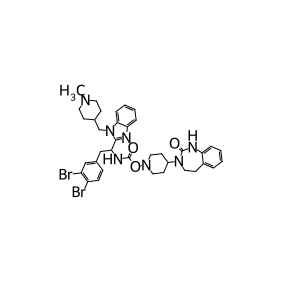 CN1CCC(Cn2c(C(Cc3ccc(Br)c(Br)c3)NC(=O)ON3CCC(N4CCc5ccccc5NC4=O)CC3)nc3ccccc32)CC1